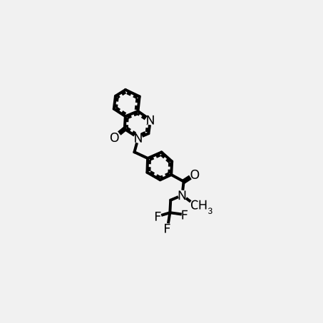 CN(CC(F)(F)F)C(=O)c1ccc(Cn2cnc3ccccc3c2=O)cc1